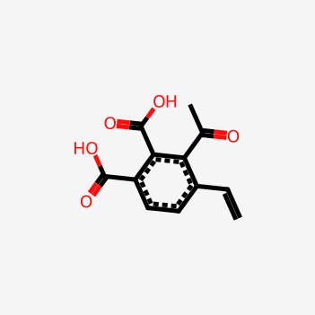 C=Cc1ccc(C(=O)O)c(C(=O)O)c1C(C)=O